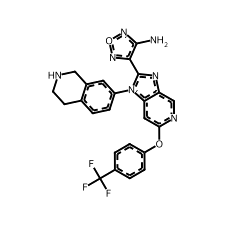 Nc1nonc1-c1nc2cnc(Oc3ccc(C(F)(F)F)cc3)cc2n1-c1ccc2c(c1)CNCC2